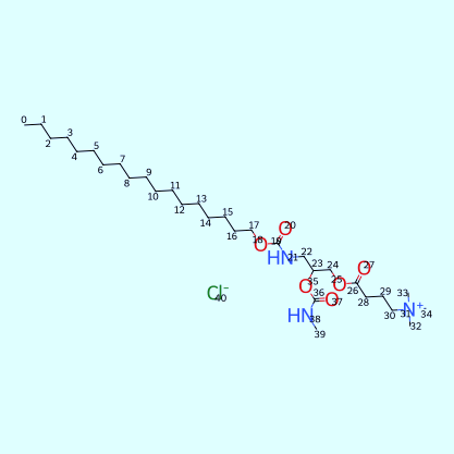 CCCCCCCCCCCCCCCCCCOC(=O)NCC(COC(=O)CCC[N+](C)(C)C)OC(=O)NC.[Cl-]